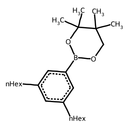 CCCCCCc1cc(CCCCCC)cc(B2OCC(C)(C)C(C)(C)O2)c1